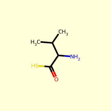 CC(C)C(N)C(=O)S